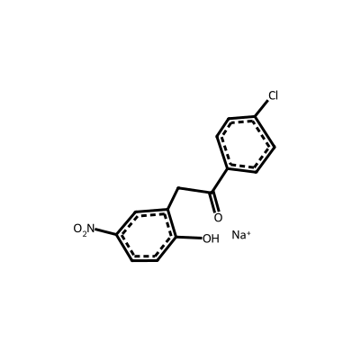 O=C(Cc1cc([N+](=O)[O-])ccc1O)c1ccc(Cl)cc1.[Na+]